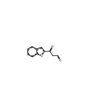 O=CCC(=O)c1cc2ccccc2o1